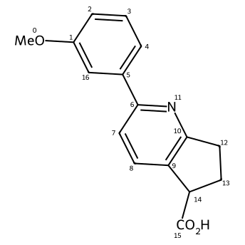 COc1cccc(-c2ccc3c(n2)CCC3C(=O)O)c1